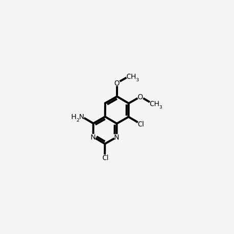 COc1cc2c(N)nc(Cl)nc2c(Cl)c1OC